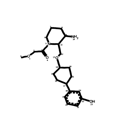 COCC(=O)N1CCCC(N)C1COC1CCC(c2cccc(O)c2)CC1